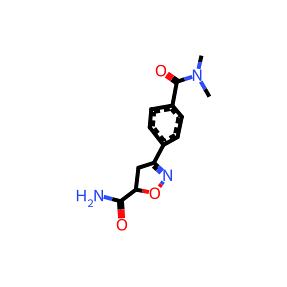 CN(C)C(=O)c1ccc(C2=NOC(C(N)=O)C2)cc1